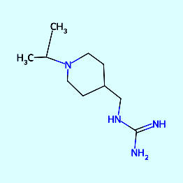 CC(C)N1CCC(CNC(=N)N)CC1